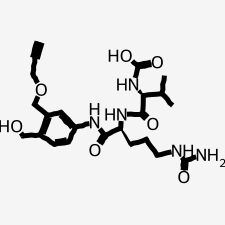 C#CCOCc1cc(NC(=O)[C@H](CCCNC(N)=O)NC(=O)[C@@H](NC(=O)O)C(C)C)ccc1CO